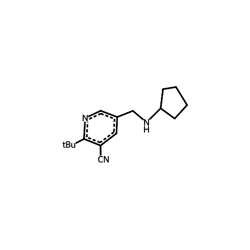 CC(C)(C)c1ncc(CNC2CCCC2)cc1C#N